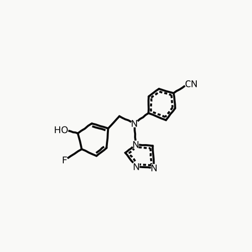 N#Cc1ccc(N(CC2=CC(O)C(F)C=C2)n2cnnc2)cc1